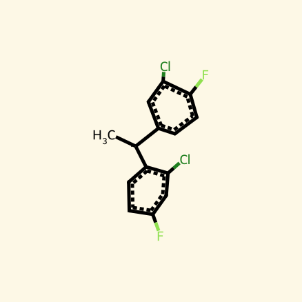 C[C](c1ccc(F)c(Cl)c1)c1ccc(F)cc1Cl